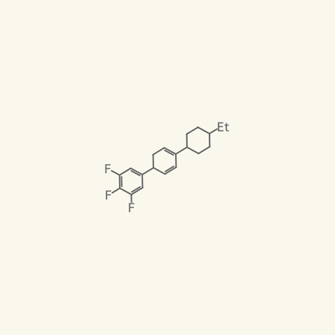 CCC1CCC(C2=CCC(c3cc(F)c(F)c(F)c3)C=C2)CC1